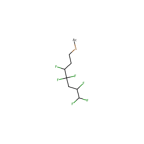 CC(=O)SCCC(F)C(F)(F)CC(F)C(F)F